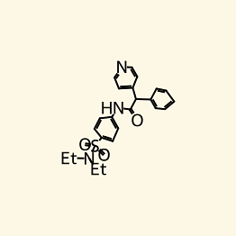 CCN(CC)S(=O)(=O)c1ccc(NC(=O)C(c2ccccc2)c2ccncc2)cc1